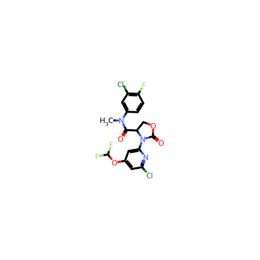 CN(C(=O)C1COC(=O)N1c1cc(OC(F)F)cc(Cl)n1)c1ccc(F)c(Cl)c1